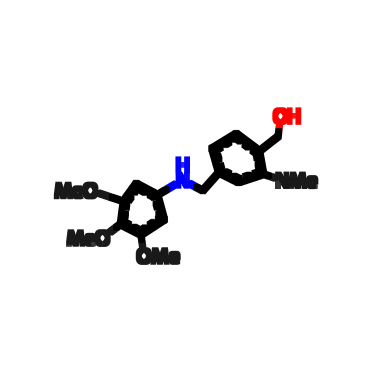 CNc1cc(CNc2cc(OC)c(OC)c(OC)c2)ccc1CO